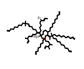 C=CCCCCCCCCC(=C(C)C(C)(CCCCCCCCC=C)CCCCCCCCC=C)C(CCCCCCCCC=C)CCCC(CCCCCCC)(CCCCC(C)C(C)C=C)C(CCCCC(C=CC)CC)=C(CCCC=CC(C)(C)CCCCCCCC=C)CCCCC(C)C=C